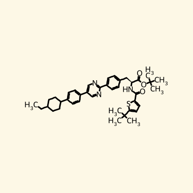 CCC1CCC(c2ccc(-c3cnc(-c4ccc(C[C@H](NC(=O)c5ccc(C(C)(C)C)s5)C(=O)OC(C)(C)C)cc4)nc3)cc2)CC1